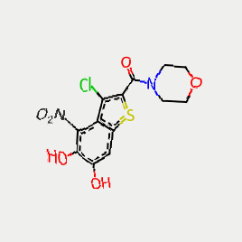 O=C(c1sc2cc(O)c(O)c([N+](=O)[O-])c2c1Cl)N1CCOCC1